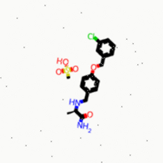 CS(=O)(=O)O.C[C@@H](NCc1ccc(OCc2cccc(Cl)c2)cc1)C(N)=O